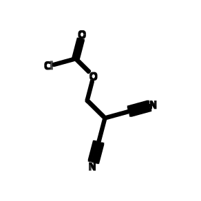 N#CC(C#N)COC(=O)Cl